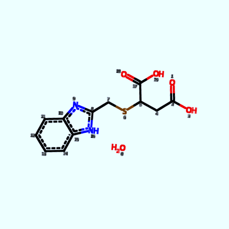 O.O=C(O)CC(SCc1nc2ccccc2[nH]1)C(=O)O